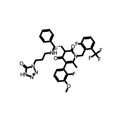 COc1cccc(C2=C(C)N(Cc3c(F)cccc3C(F)(F)F)C(=O)C(C[C@H](NCCCn3nn[nH]c3=O)c3ccccc3)C2=O)c1F